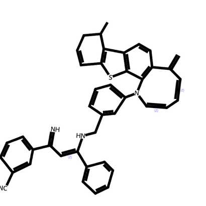 C=C1/C=C\C=C/N(c2cccc(CN/C(=C\C(=N)c3cccc(C#N)c3)c3ccccc3)c2)c2c1ccc1c3c(sc21)C=CCC3C